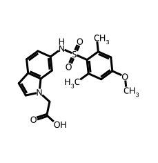 COc1cc(C)c(S(=O)(=O)Nc2ccc3ccn(CC(=O)O)c3c2)c(C)c1